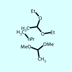 CCCC.CCOC(C)OCC.COC(C)OC